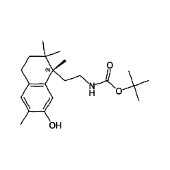 Cc1cc2c(cc1O)[C@@](C)(CCNC(=O)OC(C)(C)C)C(C)(C)CC2